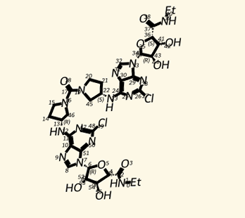 CCNC(=O)[C@H]1O[C@@H](n2cnc3c(N[C@@H]4CCN(C(=O)N5CC[C@H](Nc6nc(Cl)nc7c6ncn7[C@@H]6O[C@H](C(=O)NCC)[C@@H](O)[C@H]6O)C5)C4)nc(Cl)nc32)[C@H](O)[C@@H]1O